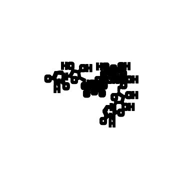 O=c1ccn([C@@H]2O[C@H](COP(=O)(O)OP(=O)(O)OP(=O)(O)OP(=O)(O)OP(=O)(O)OP(=O)(O)OC[C@H]3O[C@@H](n4ccc(=O)[nH]c4=O)C(O)[C@H]3O)[C@H](O)C2O)c(=O)[nH]1